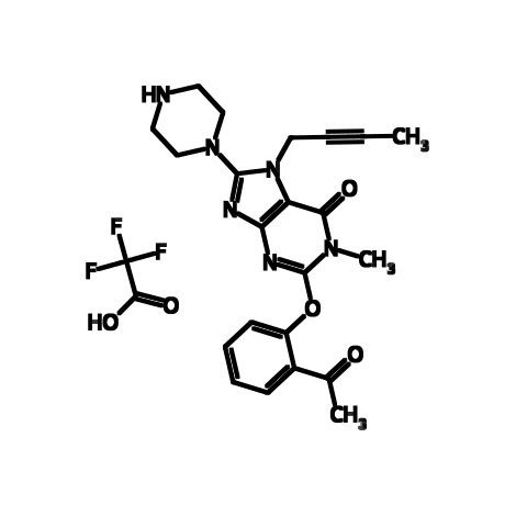 CC#CCn1c(N2CCNCC2)nc2nc(Oc3ccccc3C(C)=O)n(C)c(=O)c21.O=C(O)C(F)(F)F